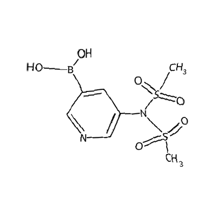 CS(=O)(=O)N(c1cncc(B(O)O)c1)S(C)(=O)=O